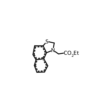 CCOC(=O)CN1CSc2ccc3ccccc3c21